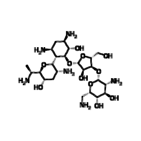 C[C@H](N)[C@H]1OC([C@H]2[C@H](O[C@@H]3O[C@H](CO)[C@@H](O[C@H]4O[C@@H](CN)[C@@H](O)[C@H](O)[C@H]4N)[C@H]3O)[C@@H](O)[C@H](N)C[C@@H]2N)[C@H](N)C[C@@H]1O